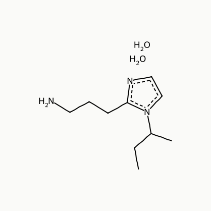 CCC(C)n1ccnc1CCCN.O.O